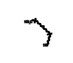 CC(C)(CCCCCO)CCCCOCCCCC(C)(C)CC(=O)O